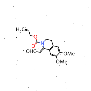 C=CCOC(=O)N1CCc2cc(OC)c(OC)cc2/C1=C/C=O